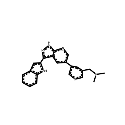 CN(C)Cc1cncc(-c2cnc3[nH]nc(-c4cc5ccccc5[nH]4)c3c2)c1